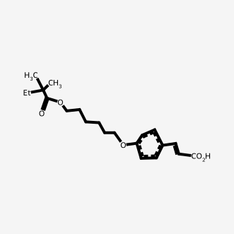 CCC(C)(C)C(=O)OCCCCCCOc1ccc(/C=C/C(=O)O)cc1